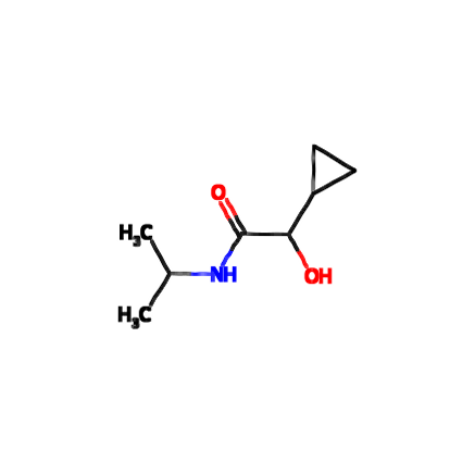 CC(C)NC(=O)C(O)C1CC1